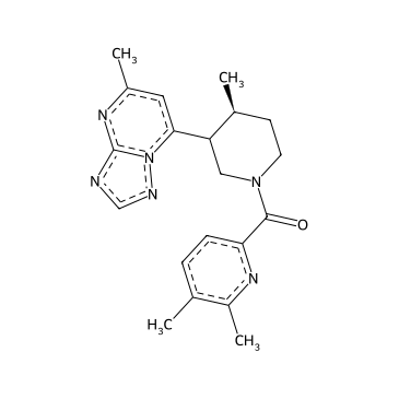 Cc1cc(C2CN(C(=O)c3ccc(C)c(C)n3)CC[C@@H]2C)n2ncnc2n1